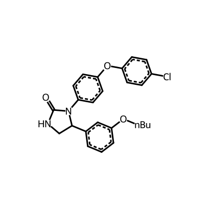 CCCCOc1cccc(C2CNC(=O)N2c2ccc(Oc3ccc(Cl)cc3)cc2)c1